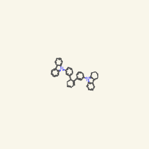 C1=CCC(c2cccc(-n3c4ccccc4c4ccccc43)c2)C(c2cccc(-n3c4c(c5ccccc53)CCCC4)c2)=C1